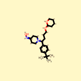 CC(C)(C)c1ccc(C(CCCOC2CCCCO2)N2CCC(=NO)CC2)cc1